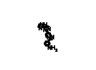 Nc1cccc(-c2cnc3cc(-c4nccc(-c5ncc[nH]5)n4)ccn23)c1